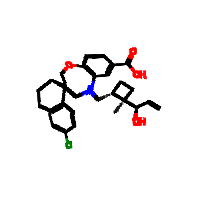 C=C[C@@H](O)[C@]1(C)CC[C@H]1CN1CC2(CCCc3cc(Cl)ccc32)COc2ccc(C(=O)O)cc21